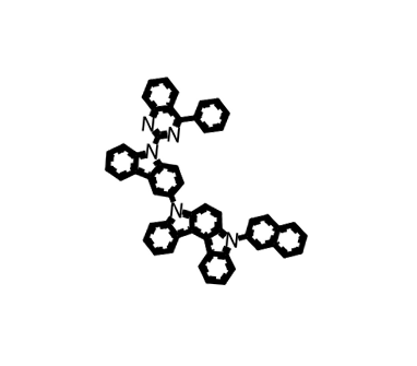 c1ccc(-c2nc(-n3c4ccccc4c4cc(-n5c6ccccc6c6c7c8ccccc8n(-c8ccc9ccccc9c8)c7ccc65)ccc43)nc3ccccc23)cc1